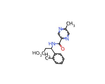 Cc1cnc(C(=O)NC(CC(=O)O)c2ccccc2C)cn1